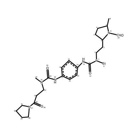 CCN(CCC1CCC(C)N1C=O)C(=O)Nc1ccc(NC(=O)N(C)CCC(=O)N2CCCC2)cc1